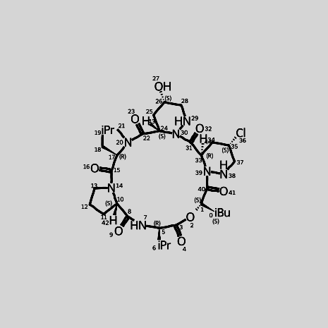 CC[C@H](C)[C@@H]1OC(=O)[C@@H](C(C)C)NC(=O)[C@@H]2CCCN2C(=O)[C@@H](CC(C)C)N(C)C(=O)[C@@H]2C[C@H](O)CNN2C(=O)[C@H]2C[C@H](Cl)CNN2C1=O